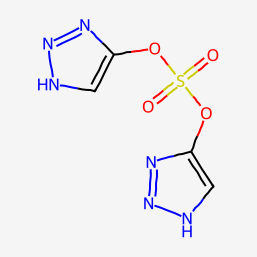 O=S(=O)(Oc1c[nH]nn1)Oc1c[nH]nn1